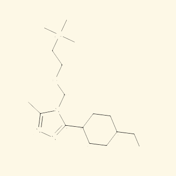 Cc1nnc(C2CCC(CO)CC2)n1COCC[Si](C)(C)C